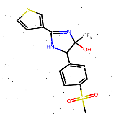 CS(=O)(=O)c1ccc(C2NC(c3ccsc3)=NC2(O)C(F)(F)F)cc1